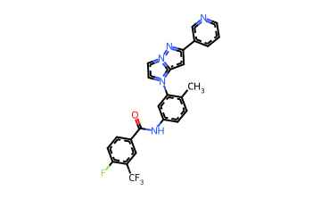 Cc1ccc(NC(=O)c2ccc(F)c(C(F)(F)F)c2)cc1-n1ccn2nc(-c3cccnc3)cc12